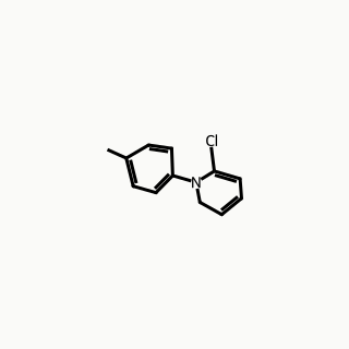 Cc1ccc(N2CC=CC=C2Cl)cc1